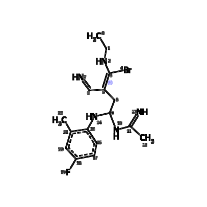 CCN/C(Br)=C(\C=N)CC(NC(C)=N)Nc1ccc(F)cc1C